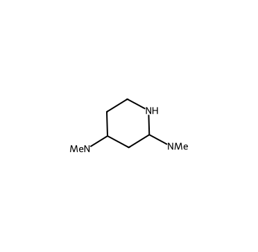 CNC1CCNC(NC)C1